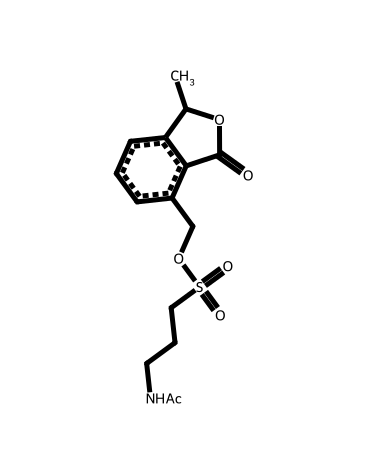 CC(=O)NCCCS(=O)(=O)OCc1cccc2c1C(=O)OC2C